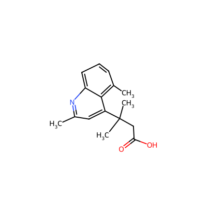 Cc1cc(C(C)(C)CC(=O)O)c2c(C)cccc2n1